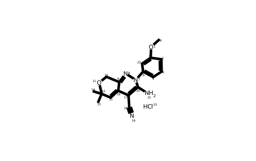 COc1cccc(N2N=C3COC(C)(C)C=C3C(C#N)=C2N)c1.Cl